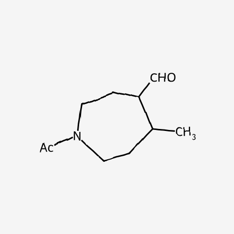 CC(=O)N1CCC(C)C(C=O)CC1